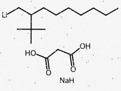 O=C(O)CC(=O)O.[Li][CH2]C(CCCCCCC)C(C)(C)C.[NaH]